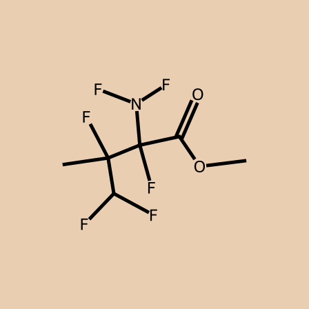 COC(=O)C(F)(N(F)F)C(C)(F)C(F)F